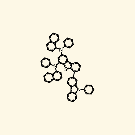 c1ccc(N(c2cc(N(c3ccccc3)c3cccc4ccccc34)c3sc4c(-c5ccc6c7ccccc7n(-c7ccccc7)c6c5)cccc4c3c2)c2cccc3ccccc23)cc1